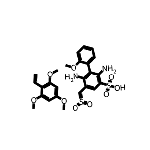 C=Cc1c(OC)cc(OC)cc1OC.COc1ccccc1-c1c(N)c(C=S(=O)=O)cc(S(=O)(=O)O)c1N